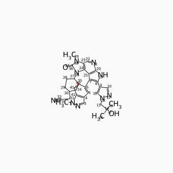 Cn1ncc2cc(-c3c(-c4cnn(CC(C)(C)O)c4)[nH]c4ncc5c(c34)n(C3CCC(CC#N)CC3)c(=O)n5C)ccc21